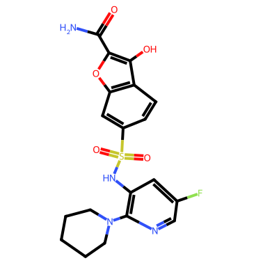 NC(=O)c1oc2cc(S(=O)(=O)Nc3cc(F)cnc3N3CCCCC3)ccc2c1O